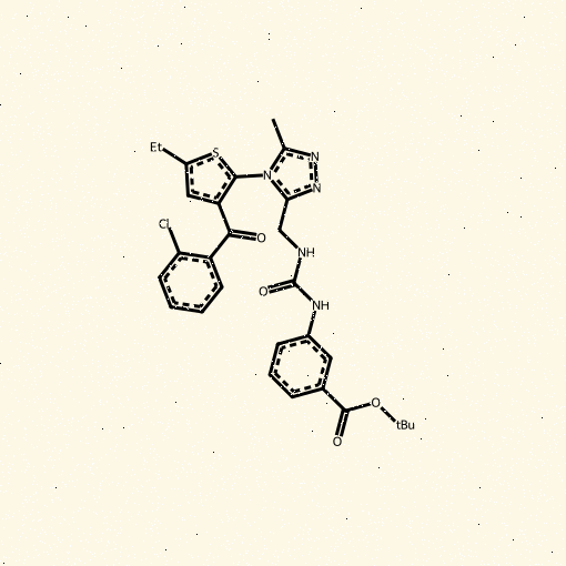 CCc1cc(C(=O)c2ccccc2Cl)c(-n2c(C)nnc2CNC(=O)Nc2cccc(C(=O)OC(C)(C)C)c2)s1